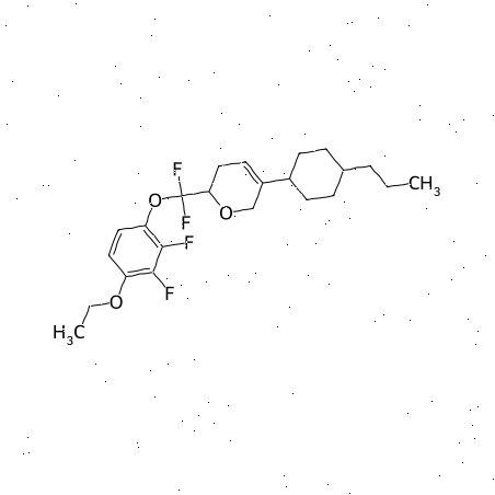 CCCC1CCC(C2=CCC(C(F)(F)Oc3ccc(OCC)c(F)c3F)OC2)CC1